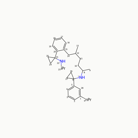 CCCc1cccc(C2(NC(C)CCC(C)Cc3ccccc3C3(NC(C)C)CC3)CC2)c1